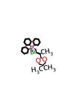 C/C(=C\CP(Br)(c1ccccc1)(c1ccccc1)c1ccccc1)C1OCC(C)(C)CO1